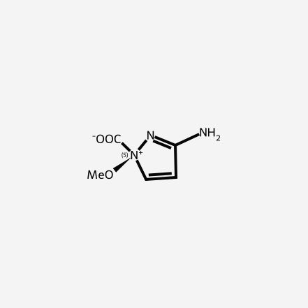 CO[N@+]1(C(=O)[O-])C=CC(N)=N1